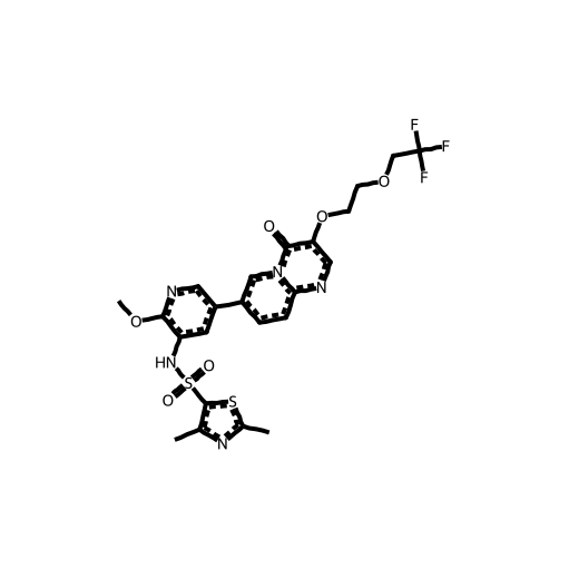 COc1ncc(-c2ccc3ncc(OCCOCC(F)(F)F)c(=O)n3c2)cc1NS(=O)(=O)c1sc(C)nc1C